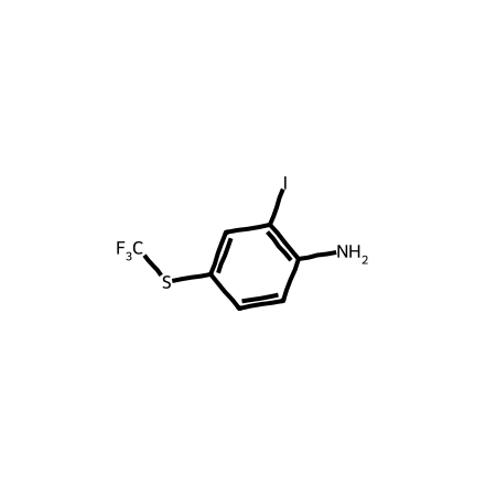 Nc1ccc(SC(F)(F)F)cc1I